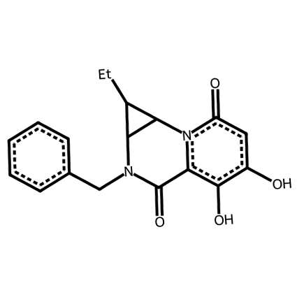 CCC1C2C1n1c(c(O)c(O)cc1=O)C(=O)N2Cc1ccccc1